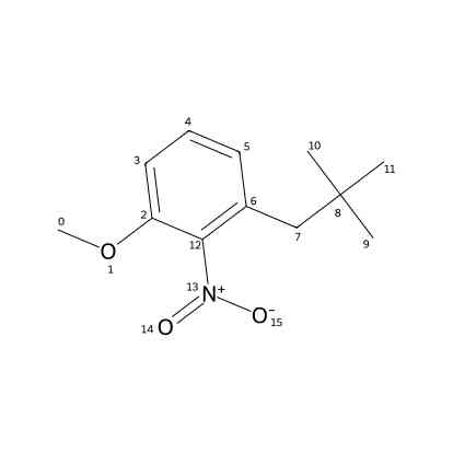 COc1cccc(CC(C)(C)C)c1[N+](=O)[O-]